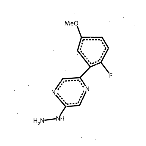 COc1ccc(F)c(-c2cnc(NN)cn2)c1